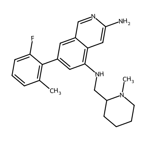 Cc1cccc(F)c1-c1cc(NCC2CCCCN2C)c2cc(N)ncc2c1